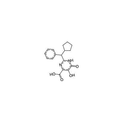 O=C(O)c1nc(C(c2ccccc2)C2CCCC2)[nH]c(=O)c1O